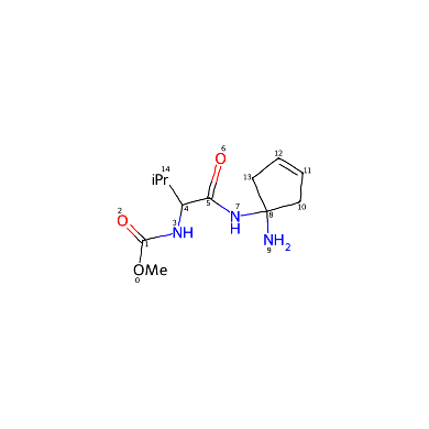 COC(=O)NC(C(=O)NC1(N)CC=CC1)C(C)C